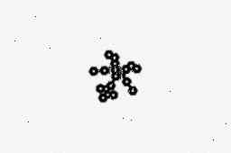 c1ccc(-c2ccc(N3c4cc5c(ccc6ccccc65)cc4B4c5cc6ccc7ccccc7c6cc5N(c5ccc(-c6ccccc6)cc5)c5cc(-c6ccc7c(c6)-c6ccccc6C76c7ccccc7-c7ccccc76)cc3c54)cc2)cc1